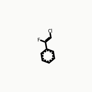 FC(=CCl)c1ccccc1